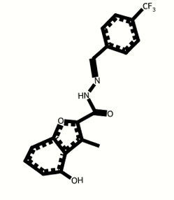 Cc1c(C(=O)NN=Cc2ccc(C(F)(F)F)cc2)oc2cccc(O)c12